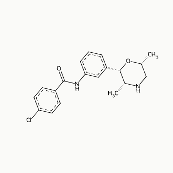 C[C@@H]1CN[C@H](C)[C@H](c2cccc(NC(=O)c3ccc(Cl)cc3)c2)O1